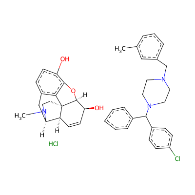 CN1CC[C@]23c4c5ccc(O)c4O[C@H]2[C@@H](O)C=C[C@H]3[C@H]1C5.Cc1cccc(CN2CCN(C(c3ccccc3)c3ccc(Cl)cc3)CC2)c1.Cl